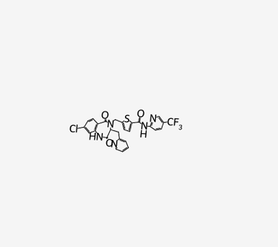 O=C(Nc1ccc(C(F)(F)F)cn1)c1ccc(CN2C(=O)c3ccc(Cl)cc3NC(=O)C2Cc2ccccn2)s1